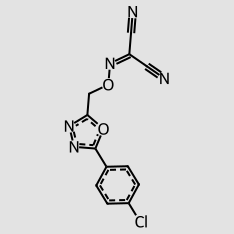 N#CC(C#N)=NOCc1nnc(-c2ccc(Cl)cc2)o1